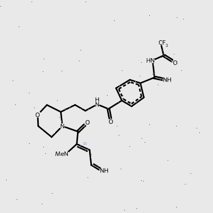 CN/C(=C\C=N)C(=O)N1CCOCC1CCNC(=O)c1ccc(C(=N)NC(=O)C(F)(F)F)cc1